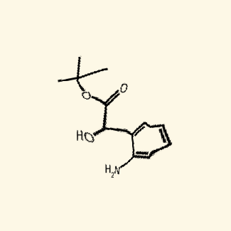 CC(C)(C)OC(=O)C(O)c1ccccc1N